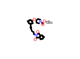 CC(C)(C)OC(=O)N1CCC(Oc2cccc(C#CCCCN3C(=O)c4ccccc4C3=O)c2)CC1